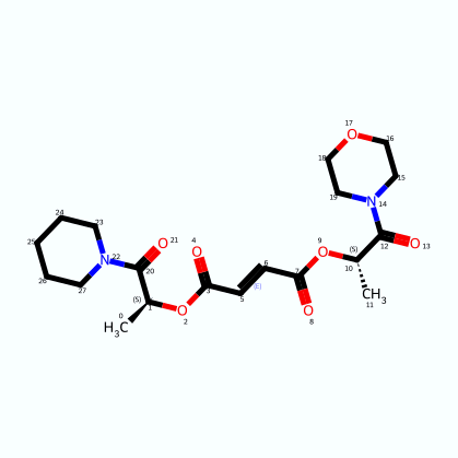 C[C@H](OC(=O)/C=C/C(=O)O[C@@H](C)C(=O)N1CCOCC1)C(=O)N1CCCCC1